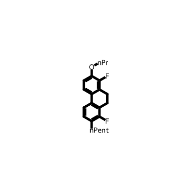 CCCCCc1ccc2c(c1F)CCc1c-2ccc(OCCC)c1F